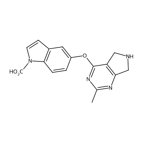 Cc1nc2c(c(Oc3ccc4c(ccn4C(=O)O)c3)n1)CNC2